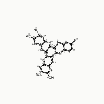 N#Cc1nc2nc3c4nc5ccc(F)cc5nc4c4nc5nc(C#N)c(C#N)nc5nc4c3nc2nc1C#N